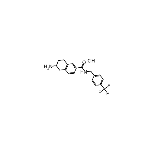 Cl.NC1CCc2cc(C(=O)NCc3ccc(C(F)(F)F)cc3)ccc2C1